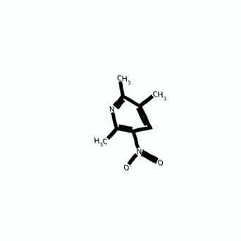 Cc1cc([N+](=O)[O-])c(C)nc1C